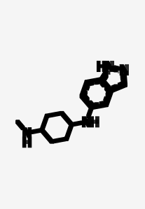 CNC1CCC(Nc2ccc3[nH]ncc3c2)CC1